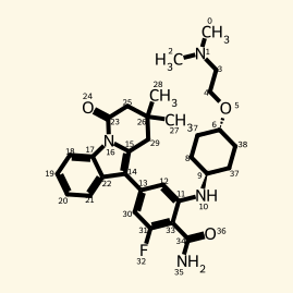 CN(C)CCO[C@H]1CC[C@H](Nc2cc(-c3c4n(c5ccccc35)C(=O)CC(C)(C)C4)cc(F)c2C(N)=O)CC1